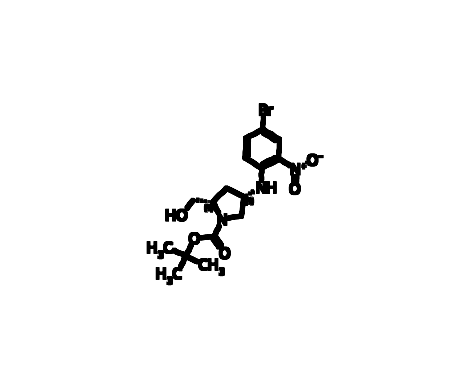 CC(C)(C)OC(=O)N1C[C@@H](Nc2ccc(Br)cc2[N+](=O)[O-])C[C@H]1CO